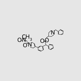 CN(C=O)CC(=O)N1CC=C(c2cccc(C(C(=O)OCC3CCN(Cc4ccccc4)CC3)c3ccccc3)c2)CC1